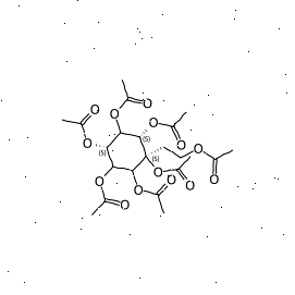 CC(=O)OCC[C@]1(OC(C)=O)C(OC(C)=O)C(OC(C)=O)[C@H](OC(C)=O)C(OC(C)=O)[C@@H]1OC(C)=O